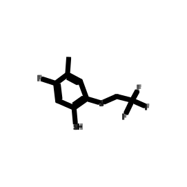 Cc1cc(SCC(F)(F)F)c(S)cc1F